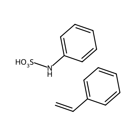 C=Cc1ccccc1.O=S(=O)(O)Nc1ccccc1